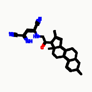 CC1CCC2C(CCC3C2CCC2(C)C3CC(C)C2C(=O)CN/C(C#N)=C\C(=N)C#N)C1